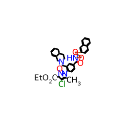 CCOC(=O)c1nn(-c2ccc(C(=O)NS(=O)(=O)c3ccc4ccccc4c3)cc2C(=O)N2CCC3CC=CC=C3C2)c(C)c1Cl